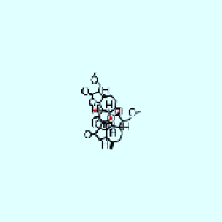 C=C1CC[C@H]2C(COC)C(=O)O[C@@H]2C2[C@H]1CC(=O)[C@]21CC[C@]2(O)[C@@H]3[C@H]4OC(=O)C(COC)[C@@H]4CCC(=C)[C@@H]3C[C@]12O